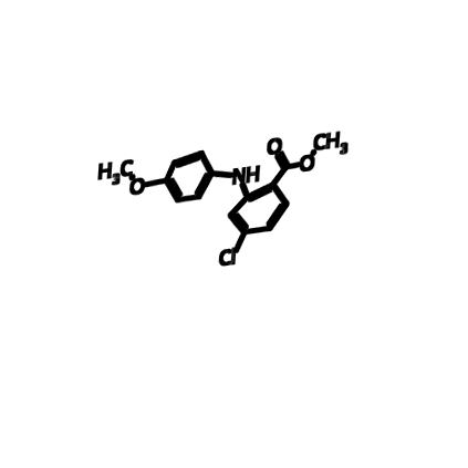 COC(=O)c1ccc(Cl)cc1Nc1ccc(OC)cc1